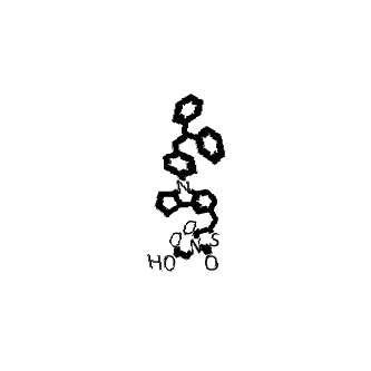 O=C(O)CN1C(=O)SC(Cc2ccc3c(c2)C2CCCC2N3c2ccc(C=C(c3ccccc3)c3ccccc3)cc2)C1=O